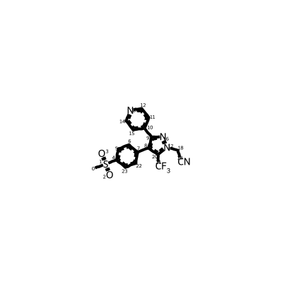 CS(=O)(=O)c1ccc(-c2c(-c3ccncc3)nn(CC#N)c2C(F)(F)F)cc1